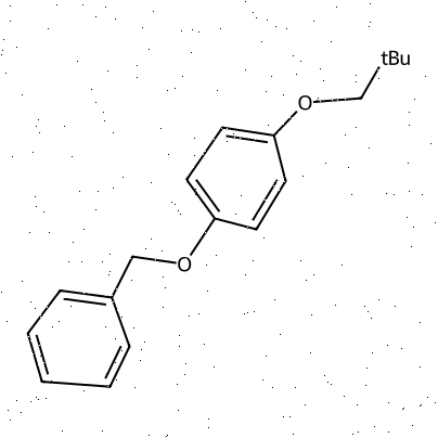 CC(C)(C)COc1ccc(OCc2ccccc2)cc1